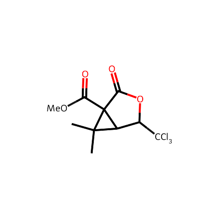 COC(=O)C12C(=O)OC(C(Cl)(Cl)Cl)C1C2(C)C